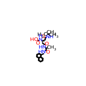 C[C@H](NC(=O)C[C@H](CC(=O)NC(C)(C)C)NC(=O)O)C(=O)NCc1cccc2ccccc12